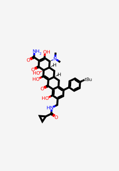 CN(C)[C@H]1C(O)=C(C(N)=O)C(=O)[C@]2(O)C(O)=C3C(=O)c4c(O)c(CNC(=O)C5CC5)cc(-c5ccc(C(C)(C)C)cc5)c4C[C@@H]3C[C@H]12